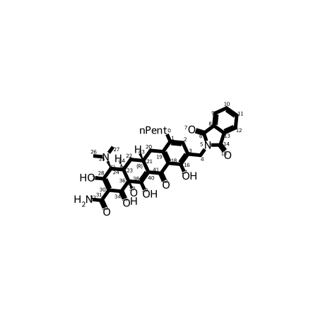 CCCCCc1cc(CN2C(=O)c3ccccc3C2=O)c(O)c2c1C[C@H]1C[C@@H]3[C@H](N(C)C)C(O)=C(C(N)=O)C(=O)[C@@]3(O)C(O)=C1C2=O